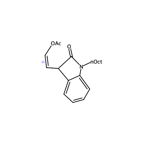 CCCCCCCCN1C(=O)C(/C=C\OC(C)=O)c2ccccc21